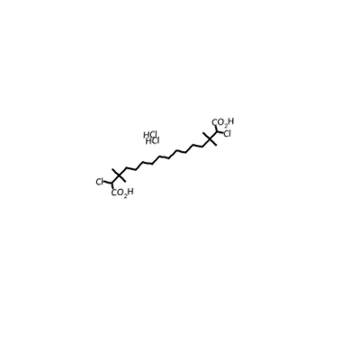 CC(C)(CCCCCCCCCCC(C)(C)C(Cl)C(=O)O)C(Cl)C(=O)O.Cl.Cl